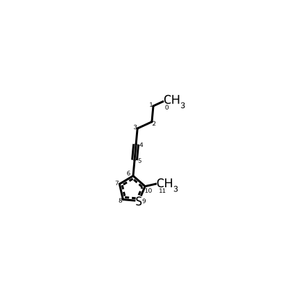 CCCCC#Cc1ccsc1C